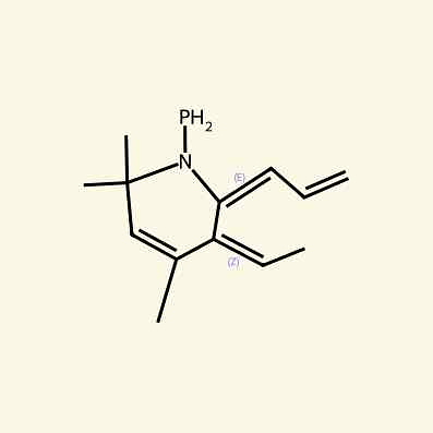 C=C/C=C1\C(=C/C)C(C)=CC(C)(C)N1P